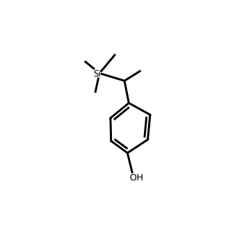 CC(c1ccc(O)cc1)[Si](C)(C)C